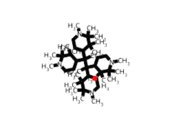 CCC(C1CCN(C)C(C)(C)C1(C)C)(C1CCN(C)C(C)(C)C1(C)C)C(C(=O)O)(C1CCN(C)C(C)(C)C1(C)C)C1CCN(C)C(C)(C)C1(C)C